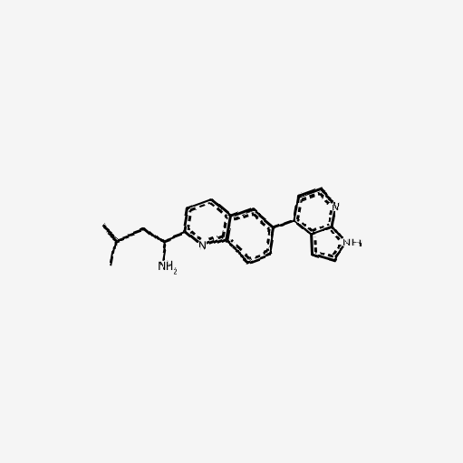 CC(C)CC(N)c1ccc2cc(-c3ccnc4[nH]ccc34)ccc2n1